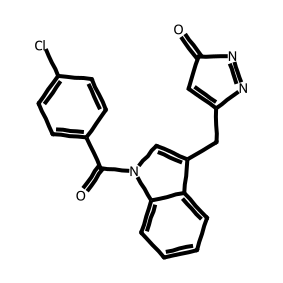 O=C1C=C(Cc2cn(C(=O)c3ccc(Cl)cc3)c3ccccc23)N=N1